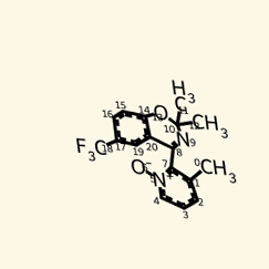 Cc1ccc[n+]([O-])c1C1=NC(C)(C)Oc2ccc(C(F)(F)F)cc21